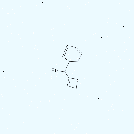 CCC(C1=CCC1)c1ccccc1